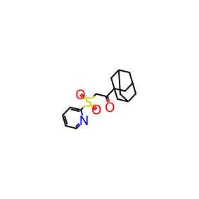 O=C(CS(=O)(=O)c1ccccn1)C12CC3CC(CC(C3)C1)C2